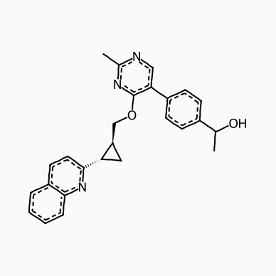 Cc1ncc(-c2ccc(C(C)O)cc2)c(OC[C@H]2C[C@@H]2c2ccc3ccccc3n2)n1